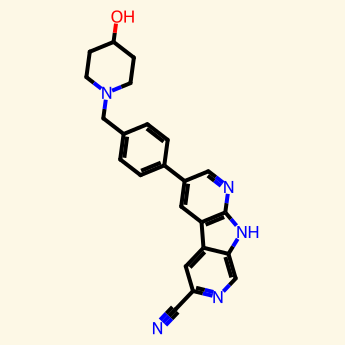 N#Cc1cc2c(cn1)[nH]c1ncc(-c3ccc(CN4CCC(O)CC4)cc3)cc12